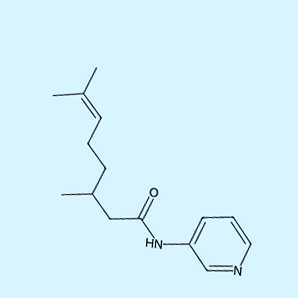 CC(C)=CCCC(C)CC(=O)Nc1cccnc1